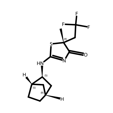 C[C@]1(CC(F)(F)F)SC(N[C@H]2C[C@@H]3CC[C@H]2C3)=NC1=O